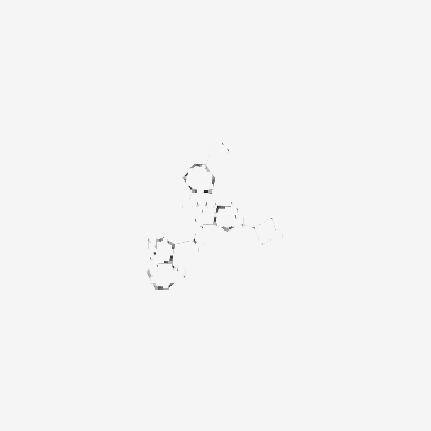 COc1ccc(C#N)cc1-c1nn(C2COC2)cc1NC(=O)c1cnn2cccnc12